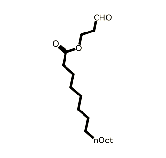 CCCCCCCCCCCCCCCC(=O)OCCC=O